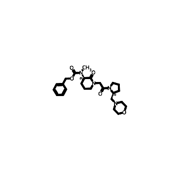 CN(C(=O)OCc1ccccc1)[C@@H]1CCCN(CC(=O)N2CCC[C@H]2CN2CCOCC2)C1=O